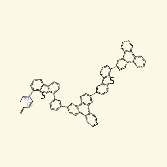 C=C/C=C\C(=C/C)c1cccc2c1sc1c(-c3cccc(-c4ccc5c6ccccc6c6cc(-c7ccc8sc9c(-c%10ccc%11c%12ccccc%12c%12ccccc%12c%11c%10)cccc9c8c7)ccc6c5c4)c3)cccc12